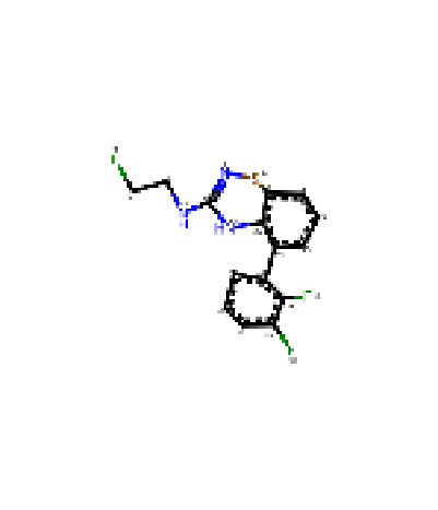 FCCNC1=NSc2cccc(-c3cccc(F)c3F)c2N1